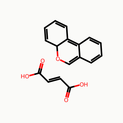 C1=CC2=c3ccccc3=COC2C=C1.O=C(O)C=CC(=O)O